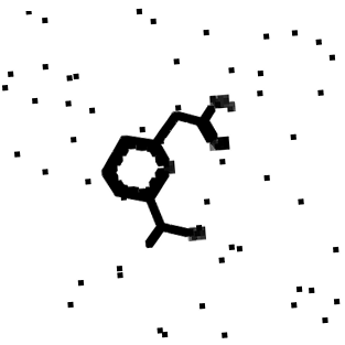 CC(S)c1cccc(CC(=N)N)n1